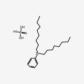 CCCCCCC[CH2][Zn]([CH2]CCCCCCC)[c]1ccccc1.OP(O)(=S)S